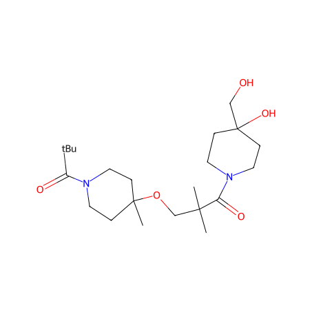 CC1(OCC(C)(C)C(=O)N2CCC(O)(CO)CC2)CCN(C(=O)C(C)(C)C)CC1